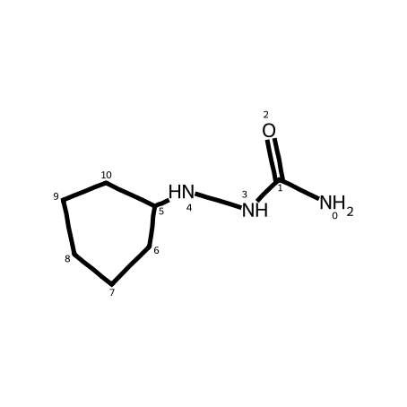 NC(=O)NNC1CCCCC1